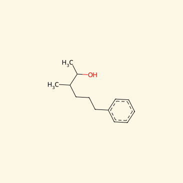 CC(O)C(C)CCCc1ccccc1